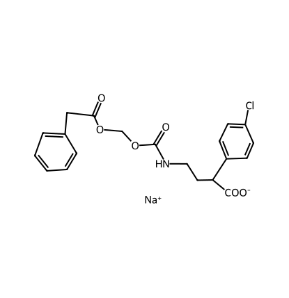 O=C(Cc1ccccc1)OCOC(=O)NCCC(C(=O)[O-])c1ccc(Cl)cc1.[Na+]